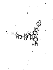 Cc1cc(-c2nc(C(=O)Nc3cc4sc(N5CCOCC5)nc4nc3N3CCC(F)CC3)co2)ccn1.Cl